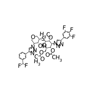 CO[C@@H]1[C@@H](n2cc(-c3cc(F)c(F)c(F)c3)nn2)[C@@H](OC(C)=O)[C@@H](COC(C)=O)O[C@H]1S[C@@H]1COC[C@H](n2cc(-c3cccc(C(F)F)c3)nn2)[C@H]1O